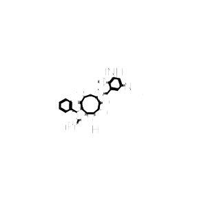 CC(C)C(=O)O[C@@H]1[C@H](C)C(=O)C(=O)[C@@H](NCc2cc(N)cc(N)c2O)CC(=O)C(=O)[C@@H]1Cc1ccccc1